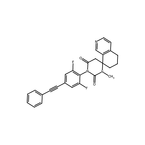 CN1C(=O)N(c2c(F)cc(C#Cc3ccccc3)cc2F)C(=O)CC12CCCc1ccncc12